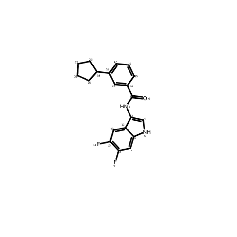 O=C(Nc1c[nH]c2cc(F)c(F)cc12)c1cccc(C2CCCC2)c1